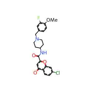 COc1ccc(CN2CCC(NC(=O)c3cc(=O)c4ccc(Cl)cc4o3)CC2)cc1F